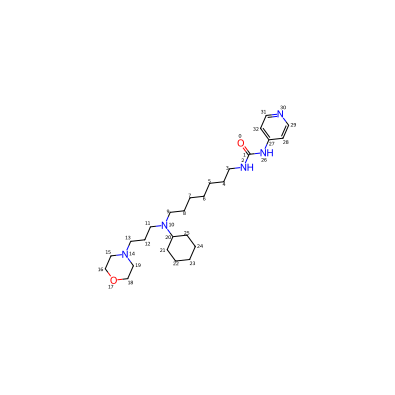 O=C(NCCCCCCCN(CCCN1CCOCC1)C1CCCCC1)Nc1ccncc1